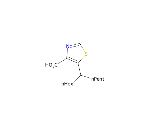 CCCCCCC(CCCCC)c1scnc1C(=O)O